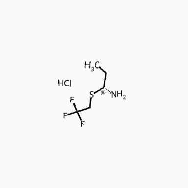 CC[C@H](N)SCC(F)(F)F.Cl